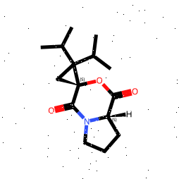 CC(C)C1(C(C)C)C[C@]12OC(=O)[C@@H]1CCCN1C2=O